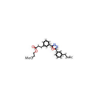 COCCOC(=O)CCc1cccc(-c2nnc(-c3cccc(CCC(C)=O)c3)o2)c1